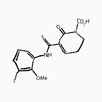 COc1c(F)cccc1NC(=S)C1=CCCN(C(=O)O)C1=O